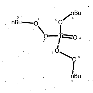 CCCCO[O][Ti](=[O])([O]CCCC)[O]OCCCC